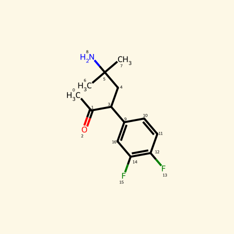 CC(=O)C(CC(C)(C)N)c1ccc(F)c(F)c1